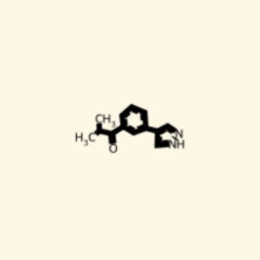 CC(C)C(=O)c1cccc(-c2cn[nH]c2)c1